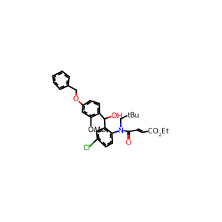 CCOC(=O)C=CC(=O)N(CC(C)(C)C)c1ccc(Cl)cc1C(O)c1ccc(OCc2ccccc2)cc1OC